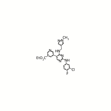 CCOC(=O)c1cncc(-c2cnc(Nc3ccc(F)c(Cl)c3)nc2NCc2cnn(C)c2)c1